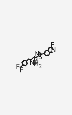 N[C@H](CNc1ncc(-c2ccc3cnc(F)cc3c2)s1)Cc1ccc(C(F)F)cc1